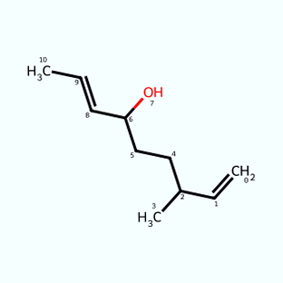 C=CC(C)CCC(O)C=CC